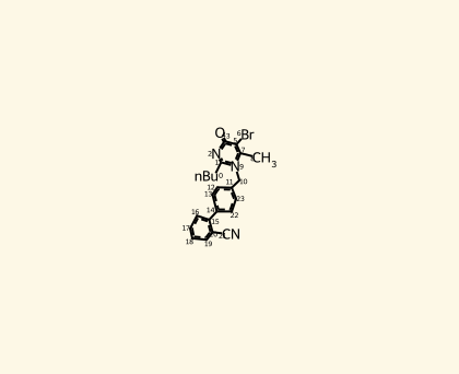 CCCCc1nc(=O)c(Br)c(C)n1Cc1ccc(-c2ccccc2C#N)cc1